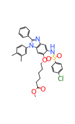 COC(=O)CCCCCOc1cc2c(cc1NS(=O)(=O)c1ccc(Cl)cc1)nc(-c1ccccc1)n2-c1ccc(C)c(C)c1